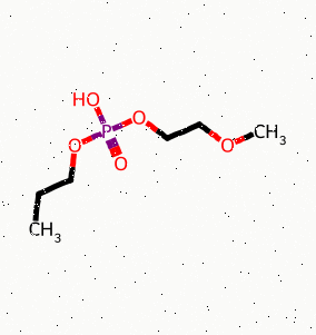 CCCOP(=O)(O)OCCOC